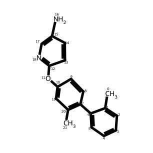 Cc1ccccc1-c1ccc(Oc2ccc(N)cn2)cc1C